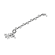 CC(C)(C)OC(=O)N1CCC(OCCOCCOCCOCCOCCOCCOCCN)CC1